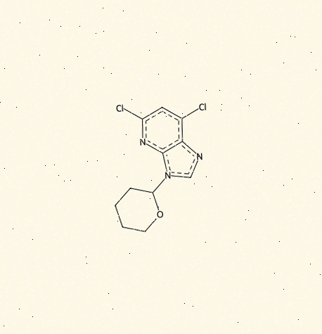 Clc1cc(Cl)c2ncn(C3CCCCO3)c2n1